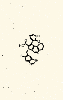 O=C(O)c1c(-c2ccc[nH]c2=O)c2c3c(c(F)cc2n1Cc1cc2[nH]cnc2cc1F)CCCO3